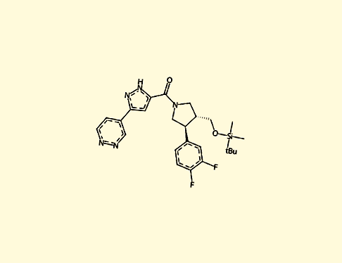 CC(C)(C)[Si](C)(C)OC[C@H]1CN(C(=O)c2cc(-c3ccnnc3)n[nH]2)C[C@@H]1c1ccc(F)c(F)c1